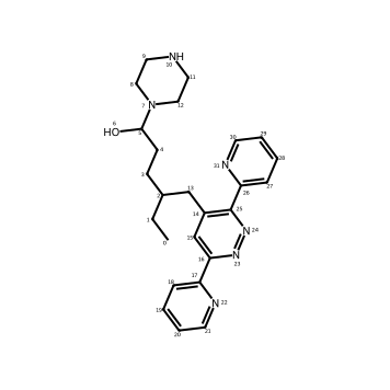 CCC(CCC(O)N1CCNCC1)Cc1cc(-c2ccccn2)nnc1-c1ccccn1